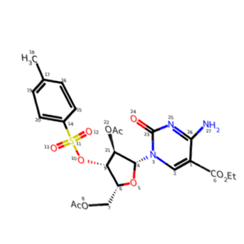 CCOC(=O)c1cn([C@@H]2O[C@H](COC(C)=O)[C@H](OS(=O)(=O)c3ccc(C)cc3)[C@H]2OC(C)=O)c(=O)nc1N